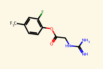 N=C(N)NCC(=O)Oc1ccc(C(F)(F)F)cc1F